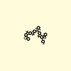 Cc1ccc(-c2cc3c(c4c2oc2ccccc24)-c2ccc(N(c4ccc5c(c4)C(C)(C)c4cc6c(cc4-5)C(C)(C)c4ccc5oc7ccccc7c5c4-6)c4c(C)cccc4C)cc2C3(C)C)cc1